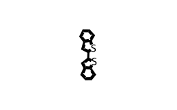 c1ccc2sc(-c3cc4ccccc4s3)cc2c1